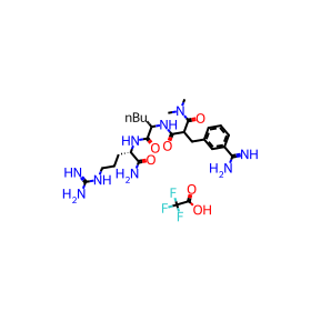 CCCCC(NC(=O)C(Cc1cccc(C(=N)N)c1)C(=O)N(C)C)C(=O)N[C@@H](CCCNC(=N)N)C(N)=O.O=C(O)C(F)(F)F